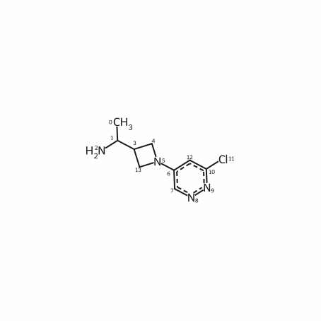 CC(N)C1CN(c2cnnc(Cl)c2)C1